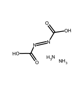 N.N.O=C(O)N=NC(=O)O